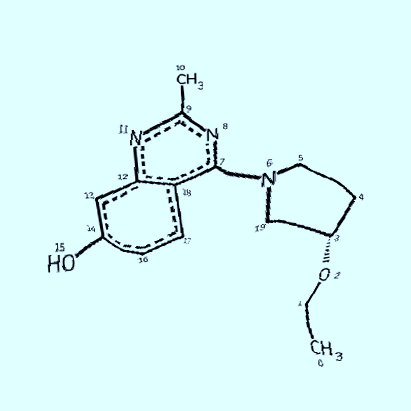 CCO[C@H]1CCN(c2nc(C)nc3cc(O)ccc23)C1